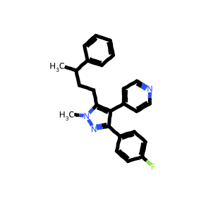 CC(CCc1c(-c2ccncc2)c(-c2ccc(F)cc2)nn1C)c1ccccc1